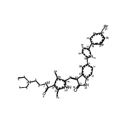 CCN(CC)CCNC(=O)c1c(C)[nH]c(/C=C2\C(=O)Nc3ccc(-c4csc(-c5ccc(Br)cc5)n4)cc32)c1C